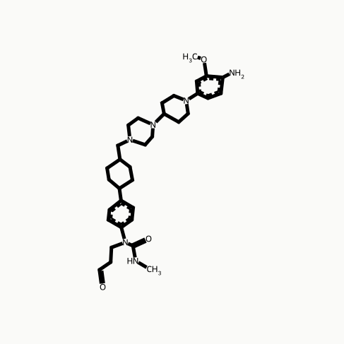 CNC(=O)N(CCC=O)c1ccc(C2CCC(CN3CCN(C4CCN(c5ccc(N)c(OC)c5)CC4)CC3)CC2)cc1